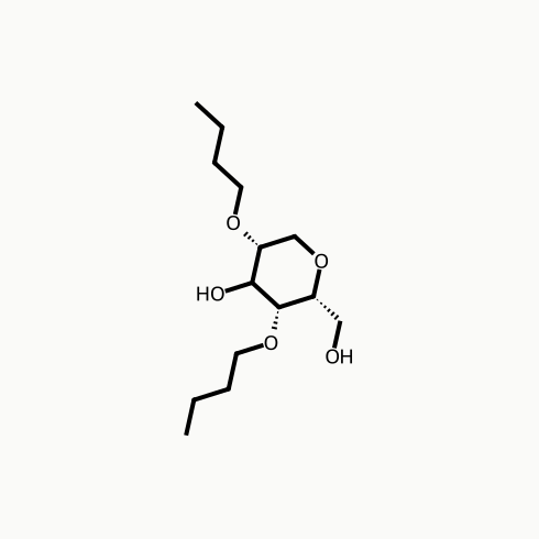 CCCCO[C@@H]1C(O)[C@H](OCCCC)CO[C@@H]1CO